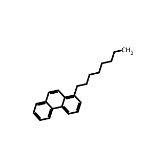 [CH2]CCCCCCCc1cccc2c1ccc1ccccc12